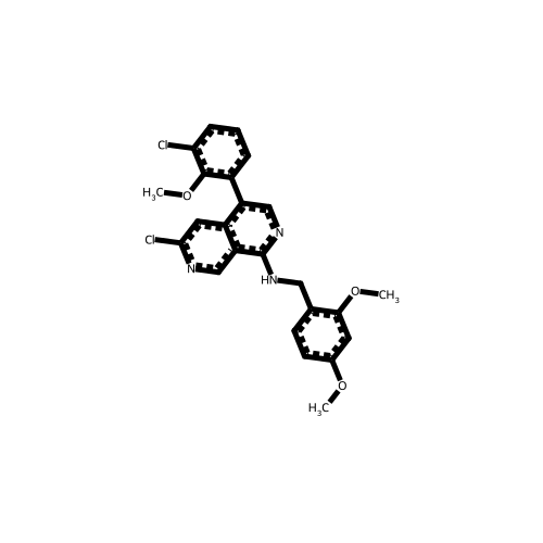 COc1ccc(CNc2ncc(-c3cccc(Cl)c3OC)c3cc(Cl)ncc23)c(OC)c1